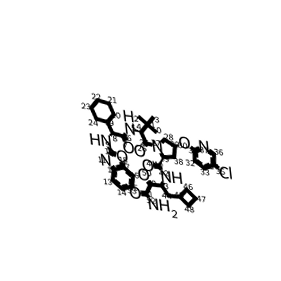 CC(C)(C)[C@H](NC(=O)[C@@H](Nc1nc2ccccc2o1)C1CCCCC1)C(=O)N1C[C@H](Oc2ccc(Cl)cn2)C[C@H]1C(=O)NC(CC1CCC1)C(=O)C(N)=O